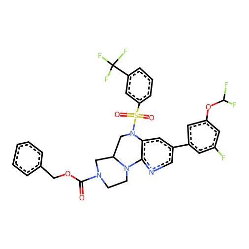 O=C(OCc1ccccc1)N1CCN2c3ncc(-c4cc(F)cc(OC(F)F)c4)cc3N(S(=O)(=O)c3cccc(C(F)(F)F)c3)CC2C1